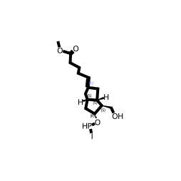 COC(=O)CCC/C=C1\C[C@H]2C[C@@H](OPI)[C@H](CO)[C@H]2C1